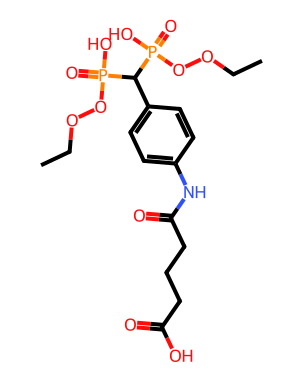 CCOOP(=O)(O)C(c1ccc(NC(=O)CCCC(=O)O)cc1)P(=O)(O)OOCC